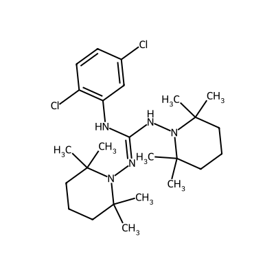 CC1(C)CCCC(C)(C)N1N=C(Nc1cc(Cl)ccc1Cl)NN1C(C)(C)CCCC1(C)C